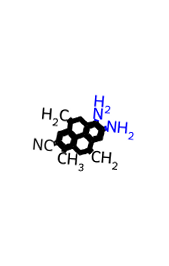 C=C1Cc2c(N)c(N)cc3c2-c2c1cc(C#N)c(C)c2CC3=C